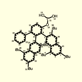 CCC(C)c1cc(C(C)CC)c2cc(-c3c(OP(O)O)ccc(-c4ccccc4)c3-c3cc4c(C(C)CC)cc(C(C)CC)cc4cc3C(C)CC)c(C(C)CC)cc2c1